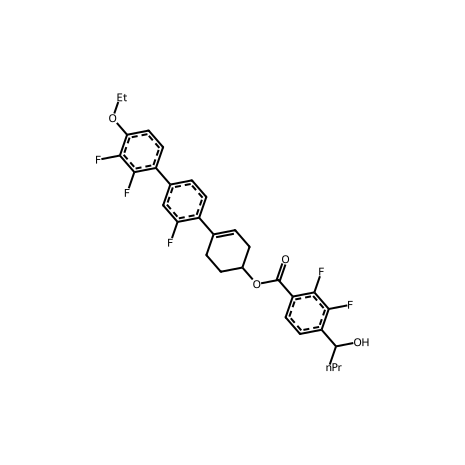 CCCC(O)c1ccc(C(=O)OC2CC=C(c3ccc(-c4ccc(OCC)c(F)c4F)cc3F)CC2)c(F)c1F